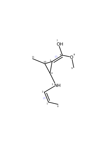 C/C=C\NC1/C(=C(/O)OC)C1C